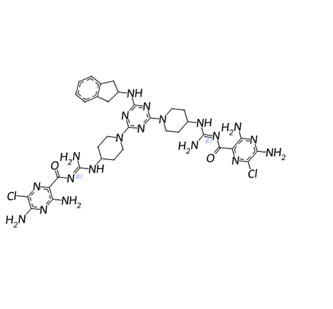 N/C(=N\C(=O)c1nc(Cl)c(N)nc1N)NC1CCN(c2nc(NC3Cc4ccccc4C3)nc(N3CCC(N/C(N)=N/C(=O)c4nc(Cl)c(N)nc4N)CC3)n2)CC1